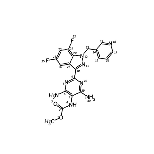 COC(=O)Nc1c(N)nc(-c2nn(Cc3cccnc3)c3c(F)cc(F)cc23)nc1N